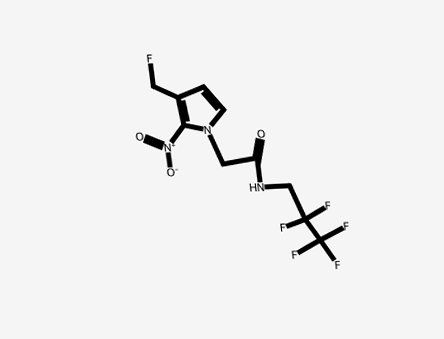 O=C(Cn1ccc(CF)c1[N+](=O)[O-])NCC(F)(F)C(F)(F)F